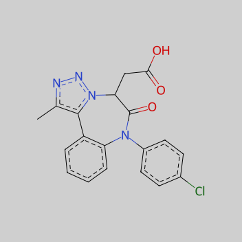 Cc1nnn2c1-c1ccccc1N(c1ccc(Cl)cc1)C(=O)C2CC(=O)O